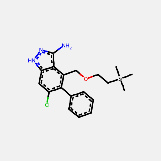 C[Si](C)(C)CCOCc1c(-c2ccccc2)c(Cl)cc2[nH]nc(N)c12